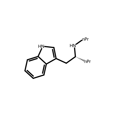 CCCN[C@H](CCC)Cc1c[nH]c2ccccc12